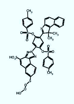 Cc1ccc(S(=O)(=O)Oc2cc(-n3nc4c(S(=O)(=O)O)cc5cc(SOOO)ccc5c4n3)c(OS(=O)(=O)c3ccc(C)cc3)cc2C2=Nc3ccc4ccccc4c3C2(C)C)cc1